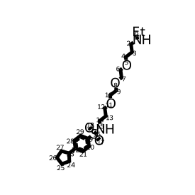 CCNCCCOCCOCCOCCCNS(=O)(=O)c1ccc(C2CCCC2)cc1